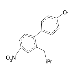 CC(C)Cc1cc([N+](=O)[O-])ccc1-c1ccc([O])cc1